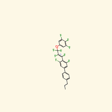 CCCc1ccc(-c2cc(F)c(/C(F)=C(\F)C(F)(F)Oc3cc(F)c(F)c(F)c3)c(F)c2)cc1